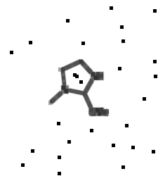 COC1NC[CH]N1C